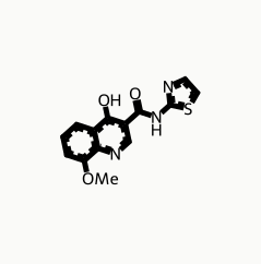 COc1cccc2c(O)c(C(=O)Nc3nccs3)cnc12